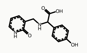 O=C(O)C(NCc1ccc[nH]c1=O)c1ccc(O)cc1